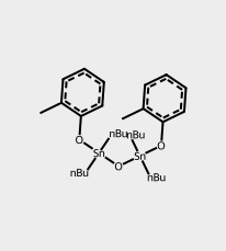 CCC[CH2][Sn]([CH2]CCC)([O]c1ccccc1C)[O][Sn]([CH2]CCC)([CH2]CCC)[O]c1ccccc1C